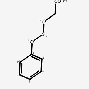 O=C(O)COSOc1ccccc1